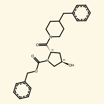 O=C([C@@H]1C[C@@H](O)CN1C(=O)OCc1ccccc1)N1CCC(Cc2ccccc2)CC1